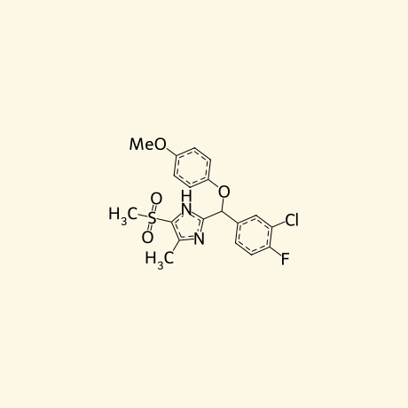 COc1ccc(OC(c2ccc(F)c(Cl)c2)c2nc(C)c(S(C)(=O)=O)[nH]2)cc1